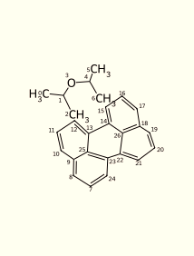 CC(C)OC(C)C.c1cc2cccc3c4cccc5cccc(c(c1)c23)c54